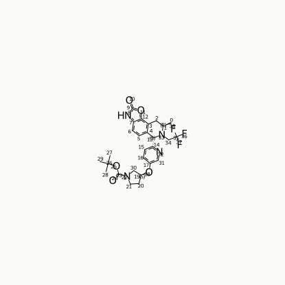 C[C@@H]1Cc2c(ccc3[nH]c(=O)oc23)[C@@H](c2ccc(O[C@H]3CCN(C(=O)OC(C)(C)C)C3)cn2)N1CC(F)(F)F